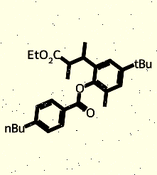 CCCCc1ccc(C(=O)Oc2c(C)cc(C(C)(C)C)cc2C(C)C(C)C(=O)OCC)cc1